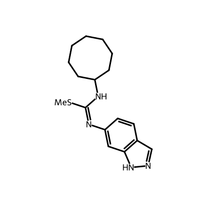 CSC(=Nc1ccc2cn[nH]c2c1)NC1CCCCCCC1